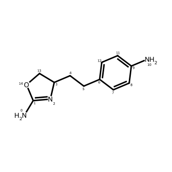 NC1=NC(CCc2ccc(N)cc2)CO1